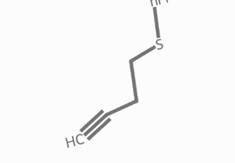 C#CCCS[CH]CC